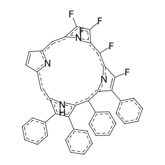 FC1=C(c2ccccc2)c2nc1c(F)c1c(F)c(F)c(cc3nc(cc4[nH]c(c2-c2ccccc2)c(-c2ccccc2)c4-c2ccccc2)C=C3)n1F